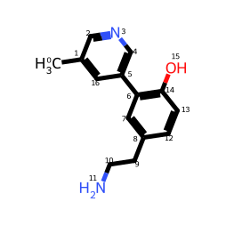 Cc1cncc(-c2cc(CCN)ccc2O)c1